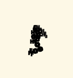 COC(=O)N[C@H](C(=O)N1CCC[C@H]1C(=O)Nc1ccc([C@H]2CCCN2c2ccc(C(F)(F)F)cc2)cc1)C(C)C